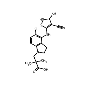 CC(C)(CN1CCc2c1ccc(Cl)c2NC1=C(C#N)C(S)NS1)C(=O)O